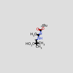 C/C(=N\C(=O)OC(C)(C)C)NCC(C)(C)C(=O)O